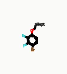 CCCCCCCCOc1ccc(Br)c(F)c1F